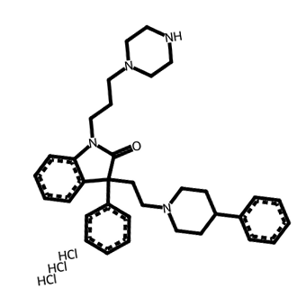 Cl.Cl.Cl.O=C1N(CCCN2CCNCC2)c2ccccc2C1(CCN1CCC(c2ccccc2)CC1)c1ccccc1